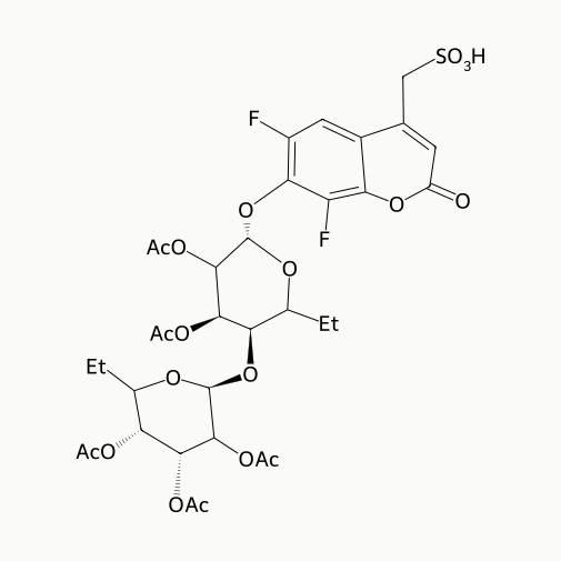 CCC1O[C@@H](O[C@@H]2C(CC)O[C@@H](Oc3c(F)cc4c(CS(=O)(=O)O)cc(=O)oc4c3F)C(OC(C)=O)[C@@H]2OC(C)=O)C(OC(C)=O)[C@H](OC(C)=O)[C@@H]1OC(C)=O